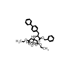 CCOC(=O)CC(CC(=O)OCC)(NC(Cc1ccc(-c2ccccc2)cc1)C(=O)OCc1ccccc1)P(=O)(O)O